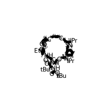 CC[C@@H]1C[C@@]12NC(=O)[C@@H]1C[C@H](CN1C(=O)[C@@H](NC(=O)OC(C)(C)C)C(C)(C)C)Oc1nc3c(cccc3n1C(C)C)-c1nc(C(C)C)c(s1)CCC=CCCC1(CC1)S(=O)(=O)CC2=O